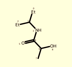 CCC(CC)NC(=O)C(C)O